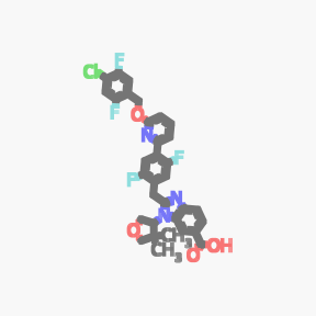 CC1(C)COCC1n1c(Cc2cc(F)c(-c3cccc(OCc4cc(F)c(Cl)cc4F)n3)cc2F)nc2ccc(C(=O)O)cc21